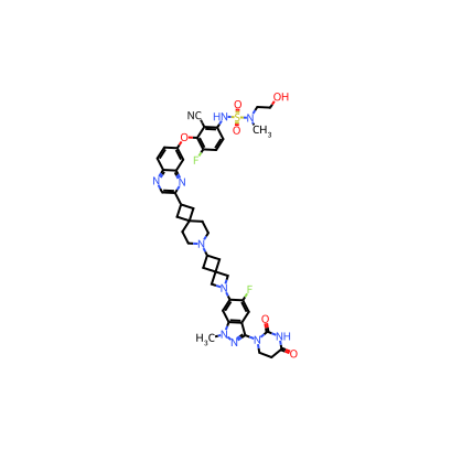 CN(CCO)S(=O)(=O)Nc1ccc(F)c(Oc2ccc3ncc(C4CC5(CCN(C6CC7(C6)CN(c6cc8c(cc6F)c(N6CCC(=O)NC6=O)nn8C)C7)CC5)C4)nc3c2)c1C#N